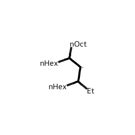 CCCCCCCCC([CH]C(CC)CCCCCC)CCCCCC